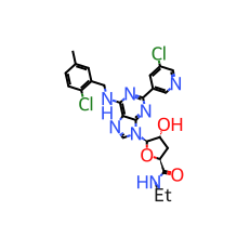 CCNC(=O)[C@@H]1C[C@@H](O)[C@H](n2cnc3c(NCc4cc(C)ccc4Cl)nc(-c4cncc(Cl)c4)nc32)O1